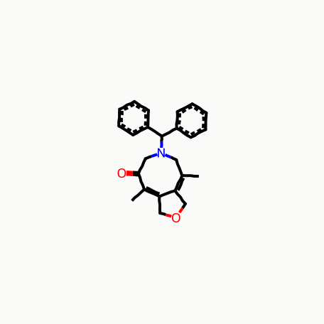 CC1=C2COCC2=C(C)C(=O)CN(C(c2ccccc2)c2ccccc2)C1